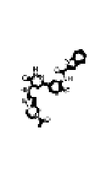 CC(=O)N1CCn2nc(Nc3cc(-c4ccc(F)c(NC(=O)c5cc6ccccc6s5)c4)n[nH]c3=O)cc2C1